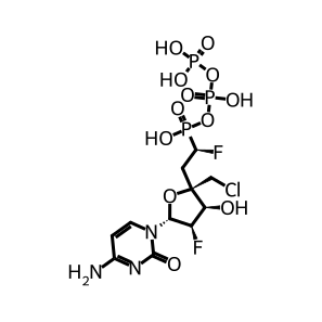 Nc1ccn([C@@H]2O[C@](CCl)(C[C@H](F)P(=O)(O)OP(=O)(O)OP(=O)(O)O)[C@@H](O)[C@H]2F)c(=O)n1